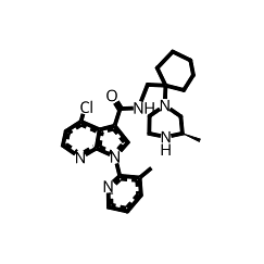 Cc1cccnc1-n1cc(C(=O)NCC2(N3CCN[C@H](C)C3)CCCCC2)c2c(Cl)ccnc21